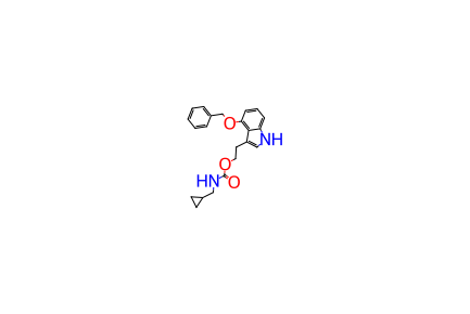 O=C(NCC1CC1)OCCc1c[nH]c2cccc(OCc3ccccc3)c12